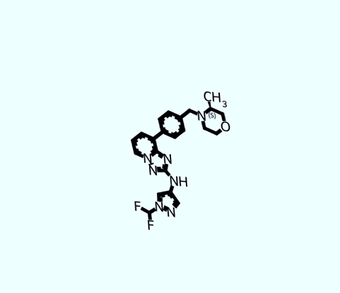 C[C@H]1COCCN1Cc1ccc(-c2cccn3nc(Nc4cnn(C(F)F)c4)nc23)cc1